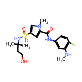 CNc1cc(NC(=O)c2cc(S(=O)(=O)NC(C)(C)CCO)cn2C)ccc1F